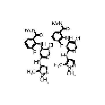 CNC(=O)c1cccc(F)c1Nc1cc(Nc2cnn(C)c2C)ncc1Cl.CNC(=O)c1cccc(F)c1Nc1cc(Nc2cnn(C)c2C)ncc1Cl